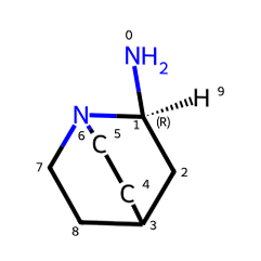 N[C@H]1CC2CCN1CC2